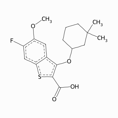 COc1cc2c(OC3CCCC(C)(C)C3)c(C(=O)O)sc2cc1F